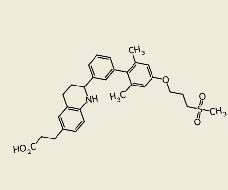 Cc1cc(OCCCS(C)(=O)=O)cc(C)c1-c1cccc(C2CCc3cc(CCC(=O)O)ccc3N2)c1